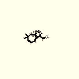 CC1(C)C=CC=c2c(C=O)n[nH]c2=C1